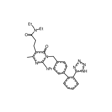 CCCc1nc(C)c(CCC(=O)N(CC)CC)c(=O)n1Cc1ccc(-c2ccccc2-c2nnn[nH]2)cc1